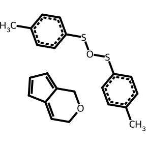 C1=CC2=CCOCC2=C1.Cc1ccc(SOSc2ccc(C)cc2)cc1